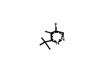 Cc1c(F)cnnc1C(C)(C)C